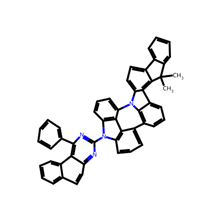 CC1(C)c2ccccc2-c2ccc3c(c21)c1cccc2c4cccc5c4c4c(cccc4n3c21)n5-c1nc(-c2ccccc2)c2c(ccc3ccccc32)n1